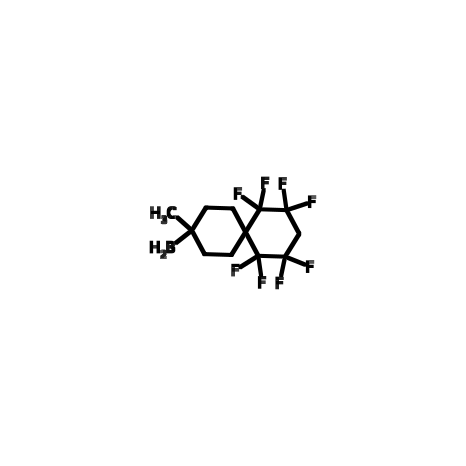 BC1(C)CCC2(CC1)C(F)(F)C(F)(F)CC(F)(F)C2(F)F